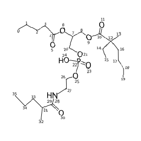 CCCCC(=O)OC(COC(=O)C(C)(CC)CCCC)COP(=O)(O)OCCNC(=O)C(C)CCC